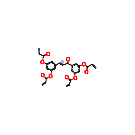 C=CC(=O)Oc1cc(/C=C/C(=O)c2cc(OC(=O)C=C)cc(OC(=O)C=C)c2)cc(OC(=O)C=C)c1